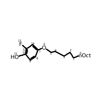 CCCCCCCCCCCCCOc1ccc(O)c(F)c1